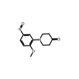 COc1ccc(N=O)cc1N1CCC(=O)CC1